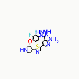 COc1ccc(N2NNN=C2c2cc(-c3cnc(C4CCNCC4)s3)cnc2N)c(F)c1F